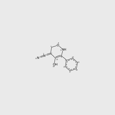 [N-]=[N+]=C1CONC(c2ccccc2)=C1O